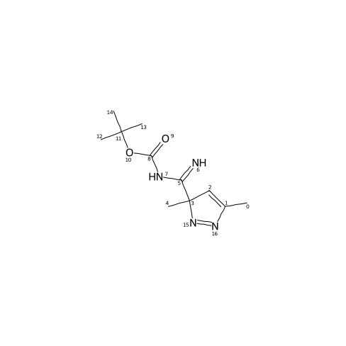 CC1=CC(C)(C(=N)NC(=O)OC(C)(C)C)N=N1